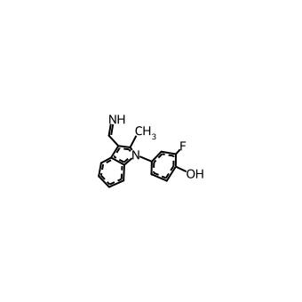 Cc1c(C=N)c2ccccc2n1-c1ccc(O)c(F)c1